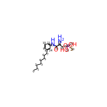 CCCCCCCCc1cccc(NC(=O)[C@H](N)COP(O)(O)=S)c1